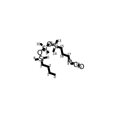 CCCC[Si](C)(C)O[Si](C)(C)O[Si](C)(C)CCCN=C=O